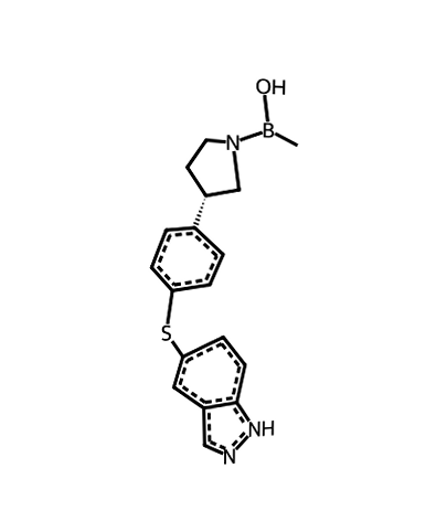 CB(O)N1CC[C@@H](c2ccc(Sc3ccc4[nH]ncc4c3)cc2)C1